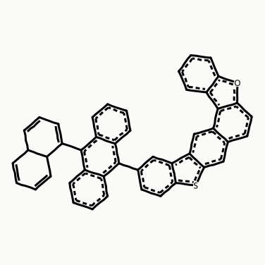 C1=CC2C=CC=C(c3c4ccccc4c(-c4ccc5sc6cc7ccc8oc9ccccc9c8c7cc6c5c4)c4ccccc34)C2C=C1